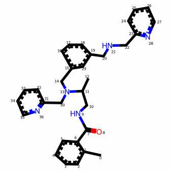 Cc1ccccc1C(=O)NCC(C)N(Cc1cccc(CNCc2ccccn2)c1)Cc1ccccn1